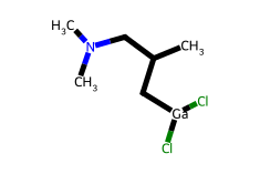 CC(CN(C)C)[CH2][Ga]([Cl])[Cl]